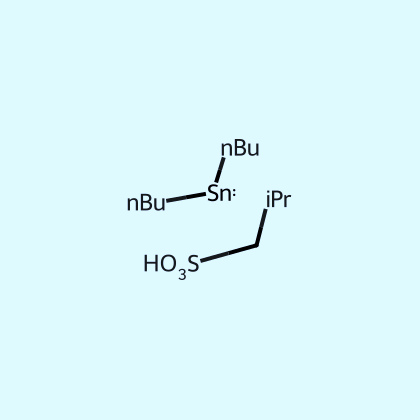 CC(C)CS(=O)(=O)O.CCC[CH2][Sn][CH2]CCC